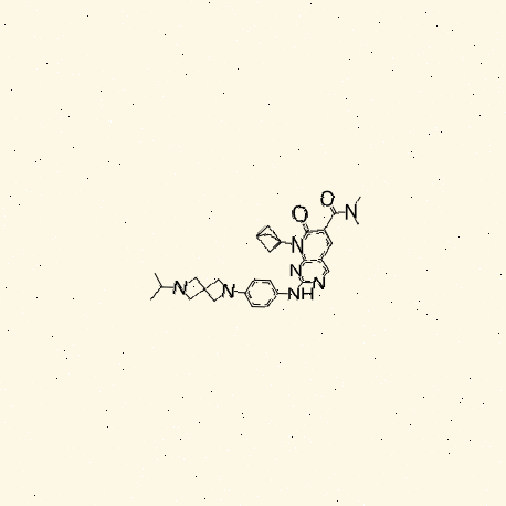 CC(C)N1CC2(CN(c3ccc(Nc4ncc5cc(C(=O)N(C)C)c(=O)n(C67CC(C6)C7)c5n4)cc3)C2)C1